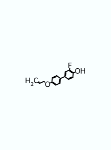 C=CCOc1ccc(-c2ccc(O)c(F)c2)cc1